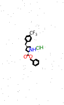 Cl.O=C(OCc1ccccc1)[C@@H]1C[C@@H](Cc2ccc(C(F)(F)F)cc2)CN1